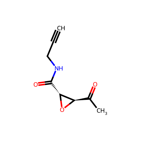 C#CCNC(=O)[C@H]1O[C@@H]1C(C)=O